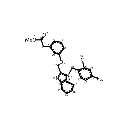 COC(=O)Cc1cccc(OCc2nc3ccccc3n2Cc2ccc(F)cc2Cl)c1